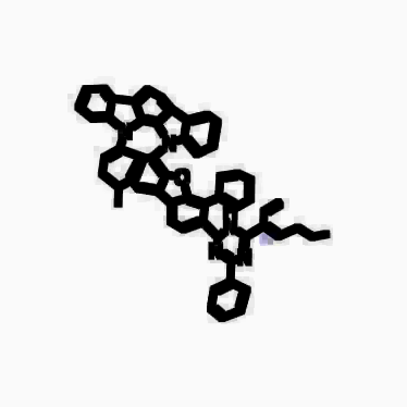 C=C/C(=C\CCC)C1=NC(c2ccccc2)=NC(c2ccc3c(oc4c(-n5c6ccccc6c6ccc7c8ccccc8n(C8=CCC(C)C=C8)c7c65)cccc43)c2-c2ccccc2)N1